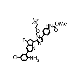 COC(=O)Nc1ccc(-c2cnc(C3CC(F)c4cc(-c5cc(Cl)ccc5N)cnc43)n2COCC[Si](C)(C)C)cc1